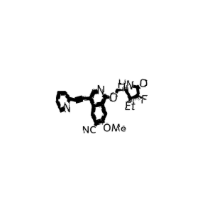 CC[C@@H]1[C@H](F)C(=O)N[C@@H]1COc1ncc(C#Cc2ccccn2)c2cc(C#N)c(OC)cc12